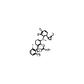 CCCC(=O)Oc1c(Nc2c(F)cccc2Cl)cccc1N1C[C@]2(CC2=O)c2ccc(F)c(F)c21